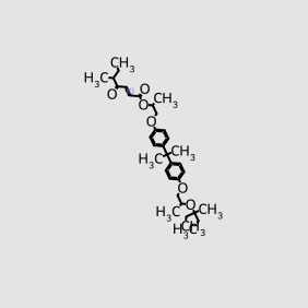 CCC(C)C(=O)/C=C/C(=O)OC(C)COc1ccc(C(C)(C)c2ccc(OCC(C)OC(C)(CC)CC)cc2)cc1